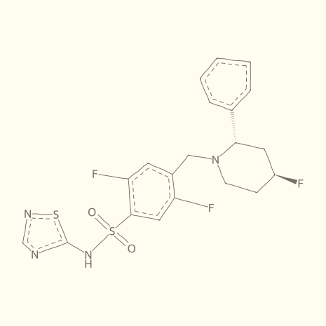 O=S(=O)(Nc1ncns1)c1cc(F)c(CN2CC[C@H](F)C[C@H]2c2ccccc2)cc1F